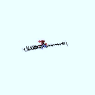 CCCCCCCCCCCCCCCCCCN(CCCCCCCCCCCCCCCCCC)C(=O)C(CCC(=O)O)NC(=O)CCCCCCCCCCC